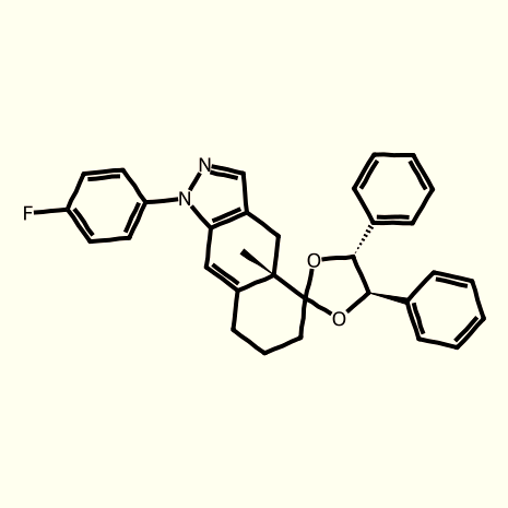 C[C@]12Cc3cnn(-c4ccc(F)cc4)c3C=C1CCCC21O[C@H](c2ccccc2)[C@@H](c2ccccc2)O1